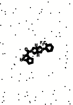 O=C(c1n[nH]c2c1CCC2)N1C[C@@H]2CN(c3ccccc3C(F)(F)F)C[C@@H]2C1